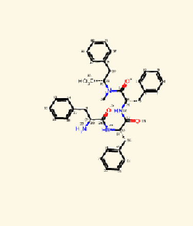 CN(C(=O)[C@H](Cc1ccccc1)NC(=O)[C@H](Cc1ccccc1)NC(=O)[C@@H](N)Cc1ccccc1)[C@@H](Cc1ccccc1)C(=O)O